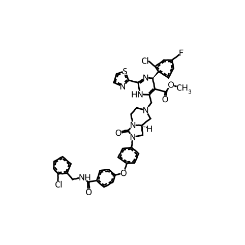 COC(=O)C1=C(CN2CCN3C(=O)N(c4ccc(Oc5ccc(C(=O)NCc6ccccc6Cl)cc5)cc4)C[C@@H]3C2)NC(c2nccs2)=N[C@H]1c1ccc(F)cc1Cl